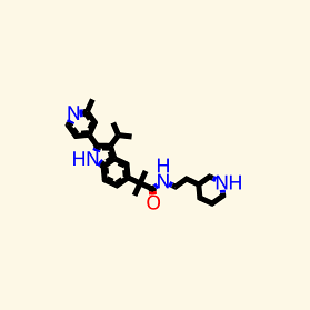 Cc1cc(-c2[nH]c3ccc(C(C)(C)C(=O)NCCC4CCCNC4)cc3c2C(C)C)ccn1